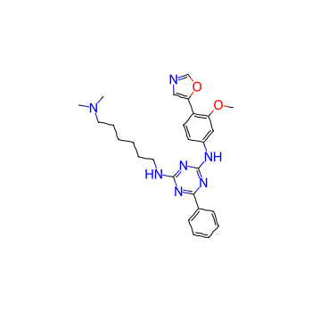 COc1cc(Nc2nc(NCCCCCCN(C)C)nc(-c3ccccc3)n2)ccc1-c1cnco1